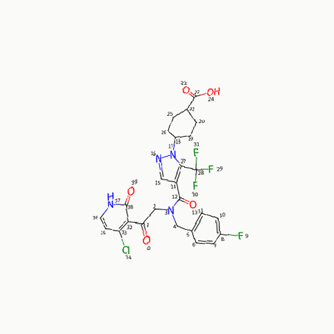 O=C(CN(Cc1ccc(F)cc1)C(=O)c1cnn(C2CCC(C(=O)O)CC2)c1C(F)(F)F)c1c(Cl)cc[nH]c1=O